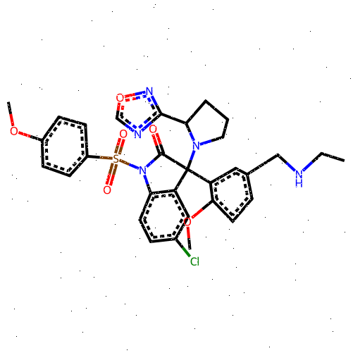 CCNCc1ccc(OC)c(C2(N3CCCC3c3ncon3)C(=O)N(S(=O)(=O)c3ccc(OC)cc3)c3ccc(Cl)cc32)c1